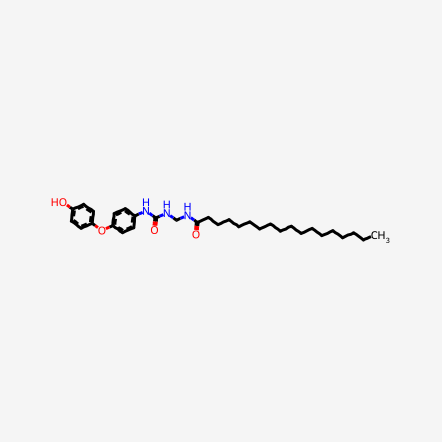 CCCCCCCCCCCCCCCCCC(=O)NCNC(=O)Nc1ccc(Oc2ccc(O)cc2)cc1